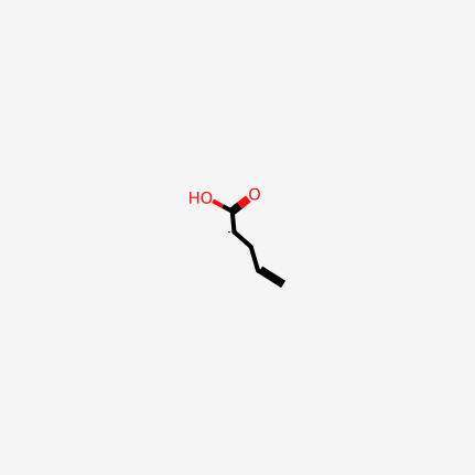 C=CC[CH]C(=O)O